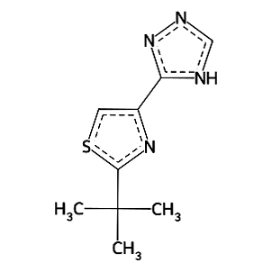 CC(C)(C)c1nc(-c2nnc[nH]2)cs1